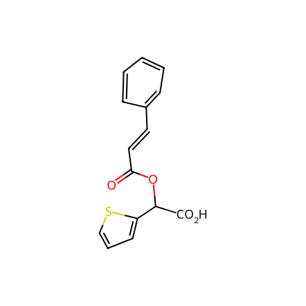 O=C(C=Cc1ccccc1)OC(C(=O)O)c1cccs1